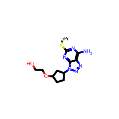 CCCSc1nc(N)c2nnn(C3CCC(OCCO)C3)c2n1